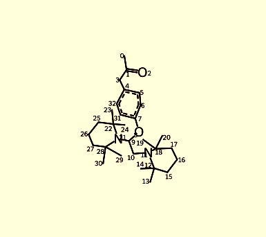 CC(=O)Cc1ccc(OC(CN2C(C)(C)CCCC2(C)C)N2C(C)(C)CCCC2(C)C)cc1